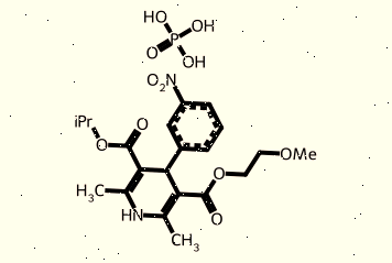 COCCOC(=O)C1=C(C)NC(C)=C(C(=O)OC(C)C)C1c1cccc([N+](=O)[O-])c1.O=P(O)(O)O